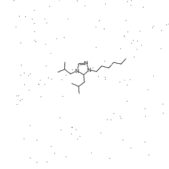 CCCCCCN1N=CN(CC(C)C)C1CC(C)C